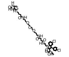 CCC[C@H](C(=O)O)c1c(-c2ccc(Cl)cc2)c2cc(Cl)ccc2n(CCNC(=O)CCC(=O)NCCCOCCOCCOCCCNC(=O)CCCC[C@H]2SCC3NC(=O)N[C@H]32)c1=O